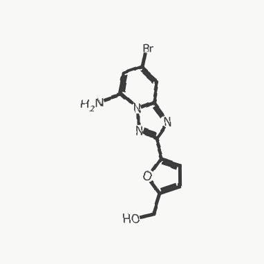 Nc1cc(Br)cc2nc(-c3ccc(CO)o3)nn12